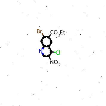 CCOC(=O)c1cc2c(Cl)c([N+](=O)[O-])cnc2cc1Br